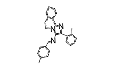 Cc1ccc(/C=N/c2c(-c3ccccc3C)nc3c4ccccc4ccn23)cc1